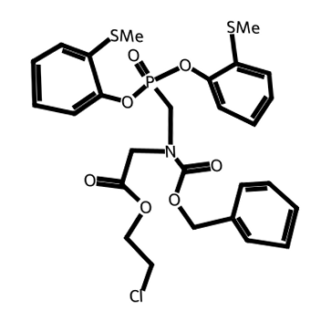 CSc1ccccc1OP(=O)(CN(CC(=O)OCCCl)C(=O)OCc1ccccc1)Oc1ccccc1SC